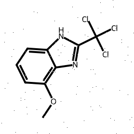 COc1cccc2[nH]c(C(Cl)(Cl)Cl)nc12